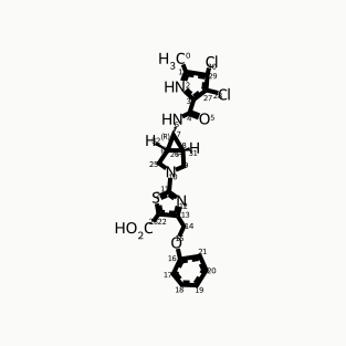 Cc1[nH]c(C(=O)N[C@@H]2[C@@H]3CN(c4nc(COc5ccccc5)c(C(=O)O)s4)C[C@@H]32)c(Cl)c1Cl